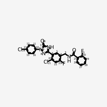 O=C(NCc1cc(-c2nn(-c3ccc(Cl)cc3)c(=O)[nH]2)c(Cl)cc1F)c1ccccc1F